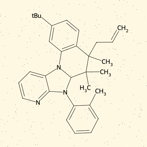 C=CCC1(C)c2ccc(C(C)(C)C)cc2N2c3cccnc3N(c3ccccc3C)C2C1(C)C